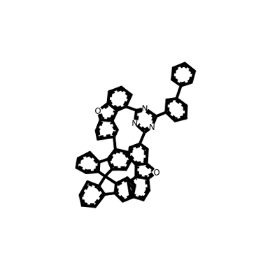 c1ccc(-c2cccc(-c3nc(-c4ccc5c(c4)oc4ccccc45)nc(-c4cccc5oc6ccc(-c7cccc8c7-c7ccccc7C87c8ccccc8-c8ccccc87)cc6c45)n3)c2)cc1